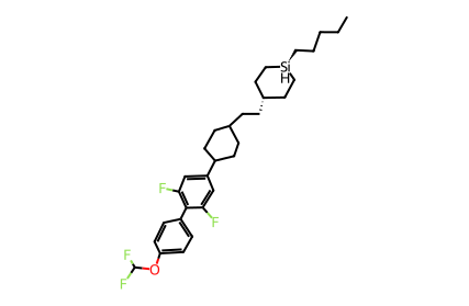 CCCCC[Si@H]1CC[C@H](CCC2CCC(c3cc(F)c(-c4ccc(OC(F)F)cc4)c(F)c3)CC2)CC1